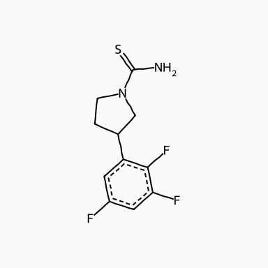 NC(=S)N1CCC(c2cc(F)cc(F)c2F)C1